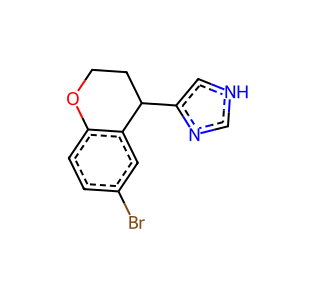 Brc1ccc2c(c1)C(c1c[nH]cn1)CCO2